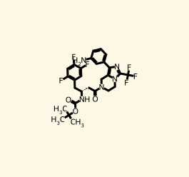 CC(C)(C)OC(=O)N[C@@H](CC(=O)N1CCn2c(C(F)(F)F)nc(-c3cccc(N)c3)c2C1)Cc1cc(F)c(F)cc1F